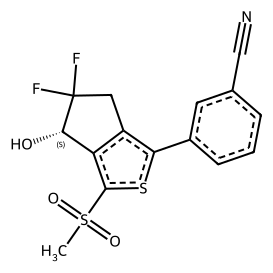 CS(=O)(=O)c1sc(-c2cccc(C#N)c2)c2c1[C@H](O)C(F)(F)C2